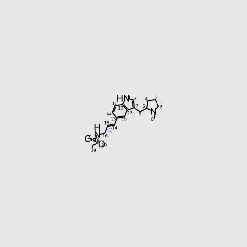 CN1CCCC1Cc1c[nH]c2ccc(/C=C/CNS(C)(=O)=O)cc12